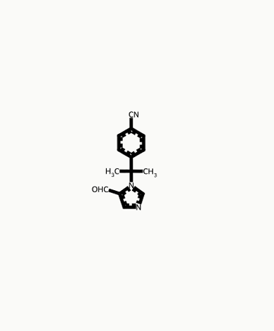 CC(C)(c1ccc(C#N)cc1)n1cncc1C=O